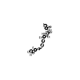 CCOc1cc(N2CCC(N3CCN(CC4CN(c5cc(F)c([C@H]6CCC(=O)NC6=O)c(F)c5)C4)CC3)CC2)c(CC)cc1Nc1ncc(Br)c(Nc2ccc3nc(C)ccc3c2P(C)(C)=O)n1